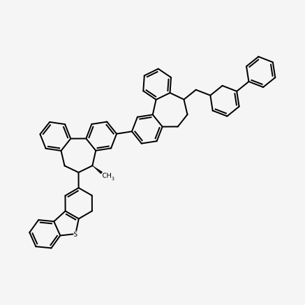 C[C@@H]1c2cc(-c3ccc4c(c3)-c3ccccc3C(CC3C=CC=C(c5ccccc5)C3)CC4)ccc2-c2ccccc2CC1C1=Cc2c(sc3ccccc23)CC1